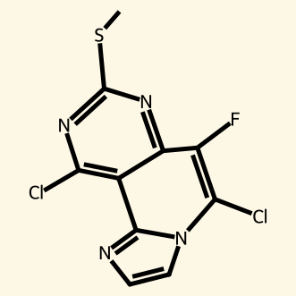 CSc1nc(Cl)c2c(n1)c(F)c(Cl)n1ccnc21